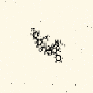 C[C@]1(C(N)=O)COc2c1cc(C(O)(CNC(=O)c1ccc(-c3ccc(=O)[nH]c3)c(OC3CC3)c1)C(F)(F)F)nc2-c1ccc(F)cc1